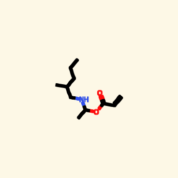 C=CC(=O)OC(C)NCC(C)CCC